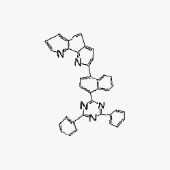 c1ccc(-c2nc(-c3ccccc3)nc(-c3ccc(-c4ccc5ccc6cccnc6c5n4)c4ccccc34)n2)cc1